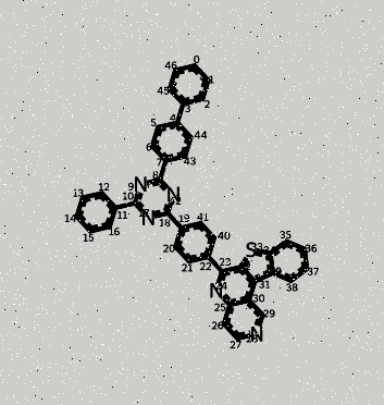 c1ccc(-c2ccc(-c3nc(-c4ccccc4)nc(-c4ccc(-c5nc6ccncc6c6c5sc5ccccc56)cc4)n3)cc2)cc1